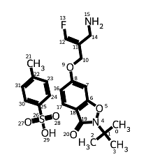 CC(C)(C)n1oc2cc(OCC(=CF)CN)ccc2c1=O.Cc1ccc(S(=O)(=O)O)cc1